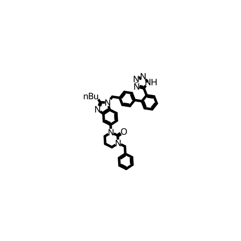 CCCCc1nc2cc(N3CCCN(Cc4ccccc4)C3=O)ccc2n1Cc1ccc(-c2ccccc2-c2nnn[nH]2)cc1